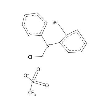 CC(C)c1ccccc1[S+](CCl)c1ccccc1.O=S(=O)([O-])C(F)(F)F